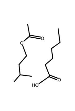 CC(=O)OCCC(C)C.CCCCCC(=O)O